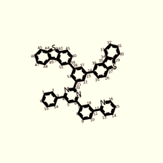 c1ccc(-c2cc(-c3cccc(-c4ccccn4)c3)nc(-c3cc(-c4ccc5sc6ccccc6c5c4)cc(-c4ccc5sc6ccccc6c5c4)c3)n2)cc1